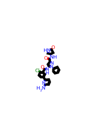 Nc1cccc(-c2ccc(Cl)c(C(=O)Nc3cc(C(=O)NC4CNC(=O)C4)nn3-c3ccccc3)c2)n1